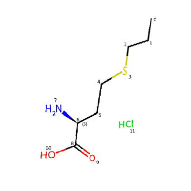 CCCSCC[C@H](N)C(=O)O.Cl